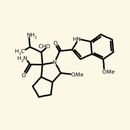 COc1cccc2[nH]c(C(=O)N3C(OC)C4CCCC4C3(C(N)=O)C(C=O)C(C)N)cc12